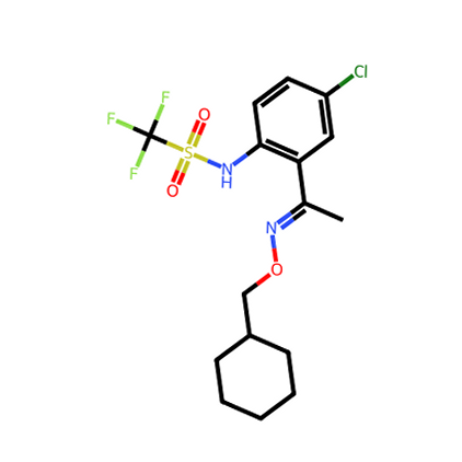 C/C(=N\OCC1CCCCC1)c1cc(Cl)ccc1NS(=O)(=O)C(F)(F)F